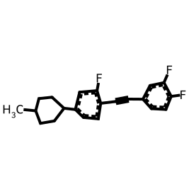 CC1CCC(c2ccc(C#Cc3ccc(F)c(F)c3)c(F)c2)CC1